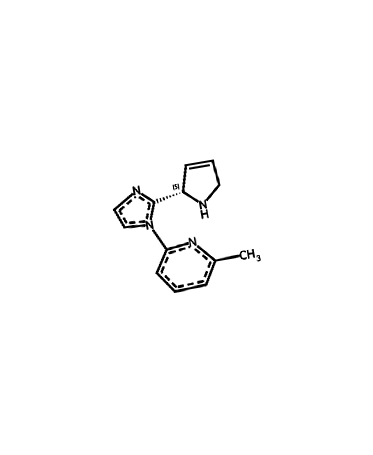 Cc1cccc(-n2ccnc2[C@@H]2C=CCN2)n1